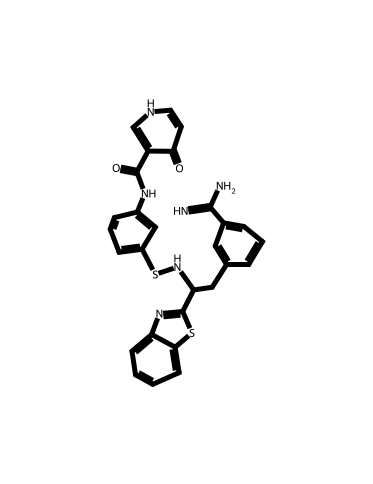 N=C(N)c1cccc(CC(NSc2cccc(NC(=O)c3c[nH]ccc3=O)c2)c2nc3ccccc3s2)c1